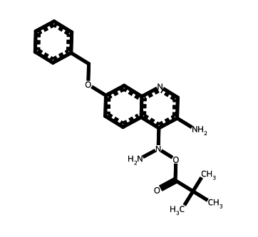 CC(C)(C)C(=O)ON(N)c1c(N)cnc2cc(OCc3ccccc3)ccc12